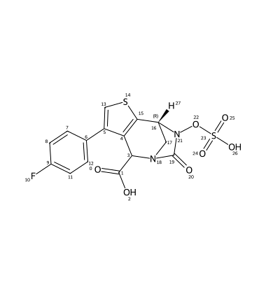 O=C(O)C1c2c(-c3ccc(F)cc3)csc2[C@H]2CN1C(=O)N2OS(=O)(=O)O